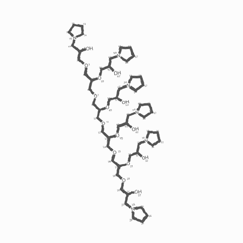 OC(COCC(COCC(COCC(COCC(COCC(O)CN1CCCC1)OCC(O)CN1CCCC1)OCC(O)CN1CCCC1)OCC(O)CN1CCCC1)OCC(O)CN1CCCC1)CN1CCCC1